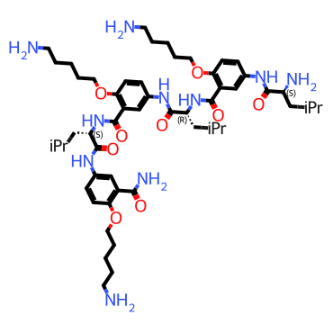 CC(C)C[C@H](NC(=O)c1cc(NC(=O)[C@@H](CC(C)C)NC(=O)c2cc(NC(=O)[C@@H](N)CC(C)C)ccc2OCCCCCN)ccc1OCCCCCN)C(=O)Nc1ccc(OCCCCCN)c(C(N)=O)c1